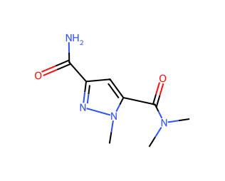 CN(C)C(=O)c1cc(C(N)=O)nn1C